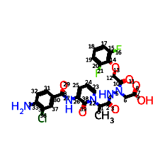 CC(C(=O)NN(CC(=O)O)C(=O)COc1c(F)cccc1F)n1cccc(NC(=O)c2ccc(N)c(Cl)c2)c1=O